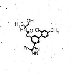 Cc1ccc(-c2cc(OC(=O)N[C@@H](C)CO)cc(-n3nnnc3C(C)C)c2)c(Cl)c1